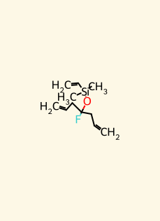 C=CCC(F)(CC=C)O[Si](C)(C)C=C